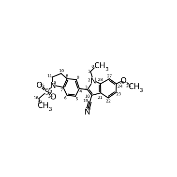 CCn1c(-c2ccc3c(c2)CCN3S(=O)(=O)CC)c(C#N)c2ccc(OC)cc21